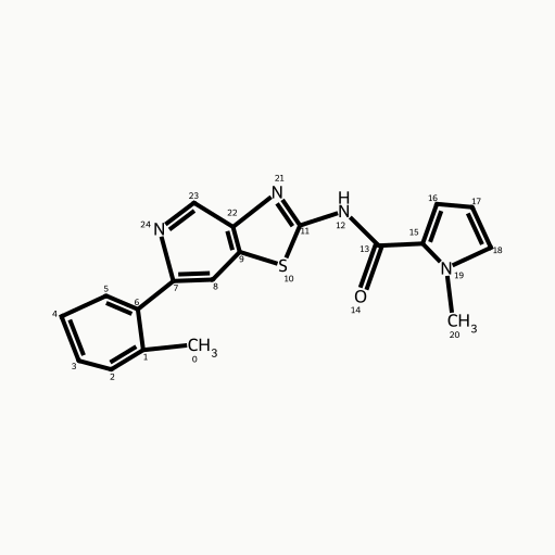 Cc1ccccc1-c1cc2sc(NC(=O)c3cccn3C)nc2cn1